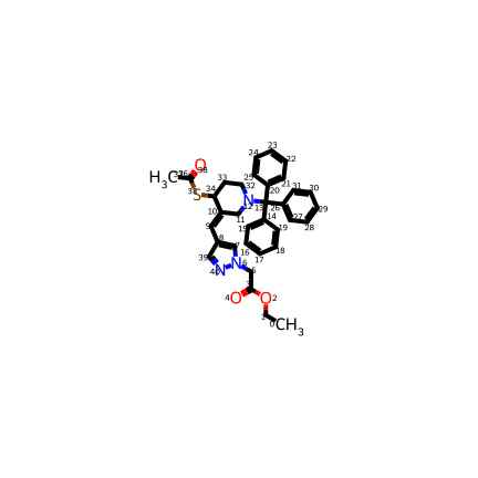 CCOC(=O)Cn1cc(/C=C2\CN(C(c3ccccc3)(c3ccccc3)c3ccccc3)CCC2SC(C)=O)cn1